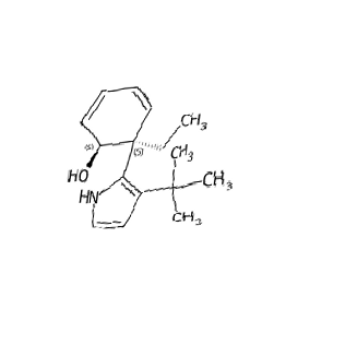 CC[C@@]1(c2[nH]ccc2C(C)(C)C)C=CC=C[C@@H]1O